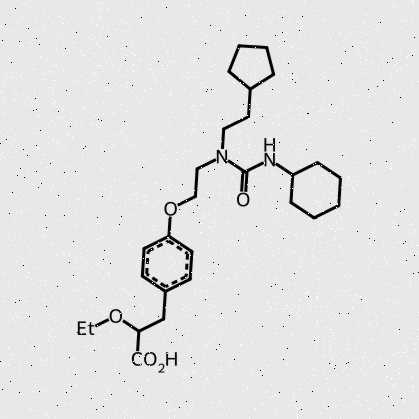 CCOC(Cc1ccc(OCCN(CCC2CCCC2)C(=O)NC2CCCCC2)cc1)C(=O)O